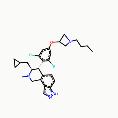 CCCCN1CC(Oc2cc(F)c([C@@H]3c4ccc5[nH]ncc5c4CN(C)[C@H]3CC3CC3)c(F)c2)C1